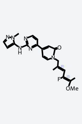 CO/C(C)=C(F)/C=C(\C)Cn1ccc(-c2ccnc(Nc3ccnn3C)n2)cc1=O